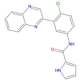 O=C(Nc1ccc(Cl)c(-c2cnc3ccccc3n2)c1)c1ccc[nH]1